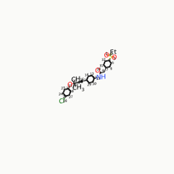 CCS(=O)(=O)c1ccc(CC(=O)Nc2ccc(C#CC(C)(C)Oc3ccc(Cl)cc3)cc2)cc1